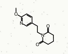 COc1ccc(CCN2C(=O)CCCC2=O)cn1